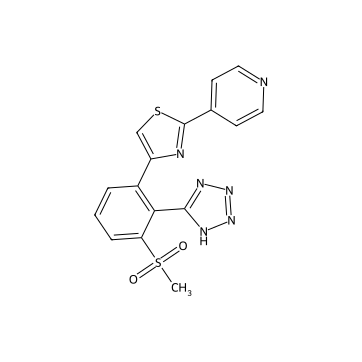 CS(=O)(=O)c1cccc(-c2csc(-c3ccncc3)n2)c1-c1nnn[nH]1